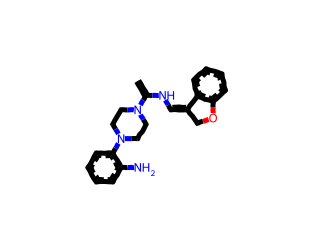 C=C(N/C=C1/COc2ccccc21)N1CCN(c2ccccc2N)CC1